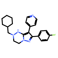 Fc1ccc(-c2nn3c(c2-c2ccncc2)NN(CC2CCCCC2)CC3)cc1